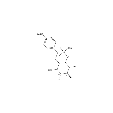 COc1ccc(COCC(O)[C@@H](C)[C@H](C)C(C)CO[Si](C)(C)C(C)(C)C)cc1